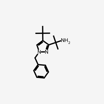 CC(C)(C)c1cn(Cc2ccccc2)nc1C(C)(C)N